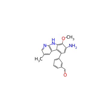 COc1c(N)cc(-c2cccc(C=O)c2)c2c1[nH]c1ncc(C)cc12